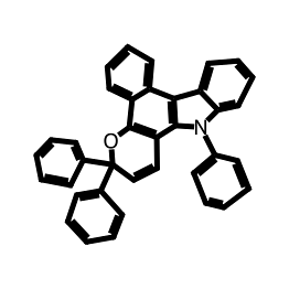 C1=CC(c2ccccc2)(c2ccccc2)Oc2c1c1c(c3ccccc23)c2ccccc2n1-c1ccccc1